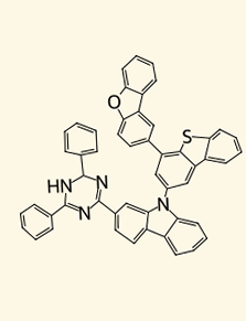 c1ccc(C2=NC(c3ccc4c5ccccc5n(-c5cc(-c6ccc7oc8ccccc8c7c6)c6sc7ccccc7c6c5)c4c3)=NC(c3ccccc3)N2)cc1